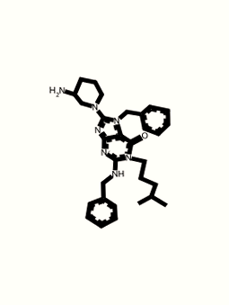 CC(C)CCCn1c(NCc2ccccc2)nc2nc(N3CCCC(N)C3)n(Cc3ccccc3)c2c1=O